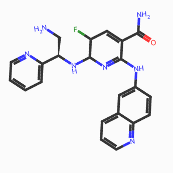 NC[C@@H](NC1N=C(Nc2ccc3ncccc3c2)C(C(N)=O)=CC1F)c1ccccn1